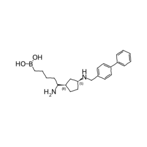 NC(CCCCB(O)O)[C@@H]1CC[C@H](NCc2ccc(-c3ccccc3)cc2)C1